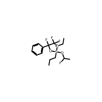 CCC[Si](OCC)(OC(C)F)OC(F)(c1ccccc1)C(F)(F)F